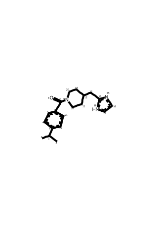 CC(C)c1ccc(C(=O)N2CCC(Cc3ncc[nH]3)CC2)cc1